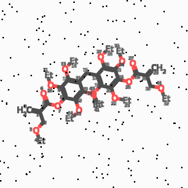 C=C(COCC)C(=O)Oc1c(OCC)c(OCC)c(Cc2c(OCC)c(OCC)c(OC(=O)C(=C)COCC)c(OCC)c2OCC)c(OCC)c1OCC